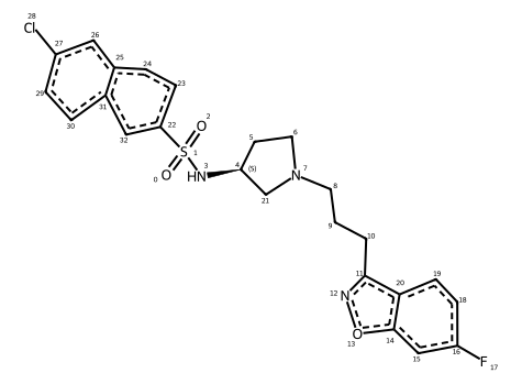 O=S(=O)(N[C@H]1CCN(CCCc2noc3cc(F)ccc23)C1)c1ccc2cc(Cl)ccc2c1